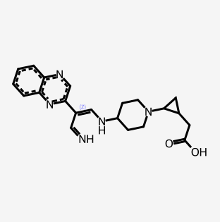 N=C/C(=C\NC1CCN(C2CC2CC(=O)O)CC1)c1cnc2ccccc2n1